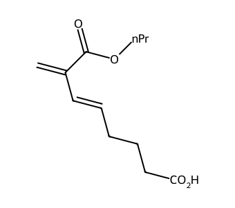 C=C(C=CCCCC(=O)O)C(=O)OCCC